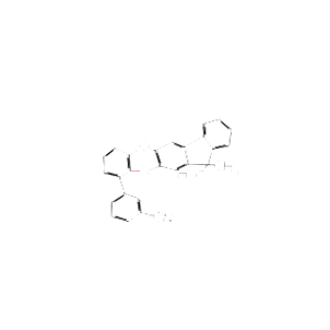 CC1(C)c2ccccc2-c2cc3c(cc21)Oc1c(cccc1-c1cccc(C#N)c1)O3